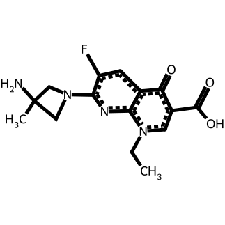 CCn1cc(C(=O)O)c(=O)c2cc(F)c(N3CC(C)(N)C3)nc21